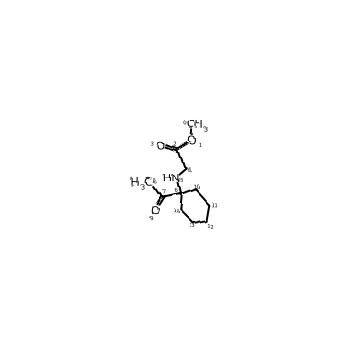 COC(=O)CNC1(C(C)=O)CCCCC1